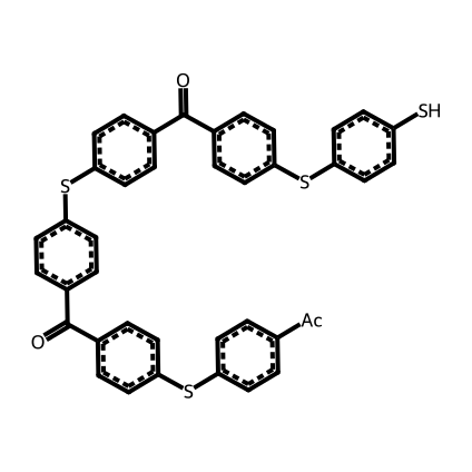 CC(=O)c1ccc(Sc2ccc(C(=O)c3ccc(Sc4ccc(C(=O)c5ccc(Sc6ccc(S)cc6)cc5)cc4)cc3)cc2)cc1